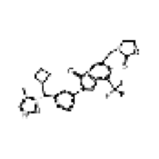 Cn1cnnc1[C@@H](c1cccc(-n2cc3c(C(F)(F)F)cc(CN4CCOC4=O)cn3c2=O)c1)C1CCC1